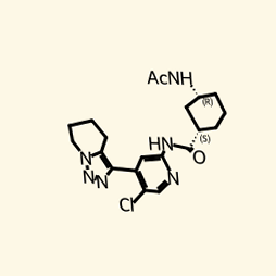 CC(=O)N[C@@H]1CCC[C@H](C(=O)Nc2cc(-c3nnn4c3CCCC4)c(Cl)cn2)C1